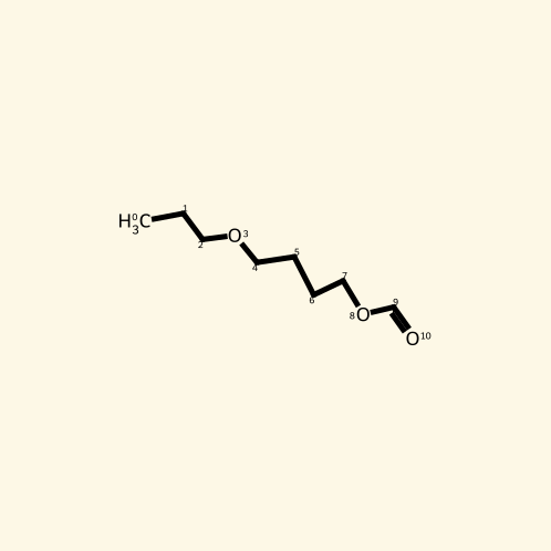 CCCOCCCCO[C]=O